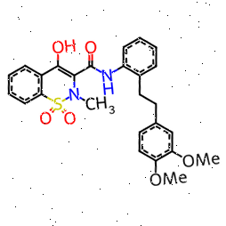 COc1ccc(CCc2ccccc2NC(=O)C2=C(O)c3ccccc3S(=O)(=O)N2C)cc1OC